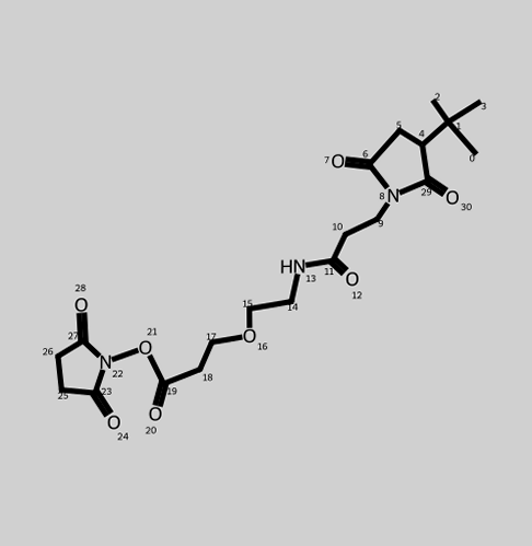 CC(C)(C)C1CC(=O)N(CCC(=O)NCCOCCC(=O)ON2C(=O)CCC2=O)C1=O